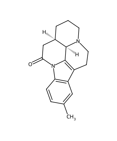 Cc1ccc2c(c1)c1c3n2C(=O)C[C@H]2CCCN(CC1)[C@@H]32